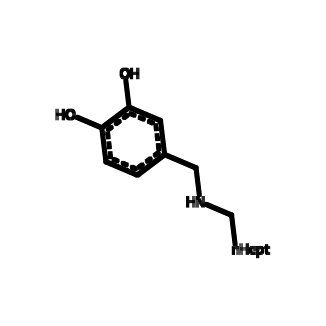 CCCCCCCCNCc1ccc(O)c(O)c1